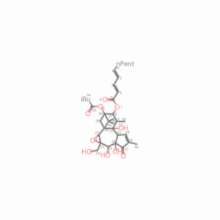 CCCCC/C=C/C=C/C(=O)OC1C(C)C2(O)C3C=C(C)C(=O)C3(O)C(O)C3(CO)OC3C23CC1(OC(=O)C(C)CC)C3(C)C